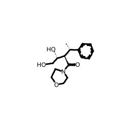 C[C@H](c1ccccc1)[C@@H](C(=O)N1CCOCC1)[C@@H](O)CO